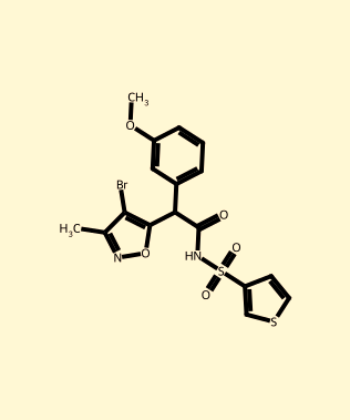 COc1cccc(C(C(=O)NS(=O)(=O)c2ccsc2)c2onc(C)c2Br)c1